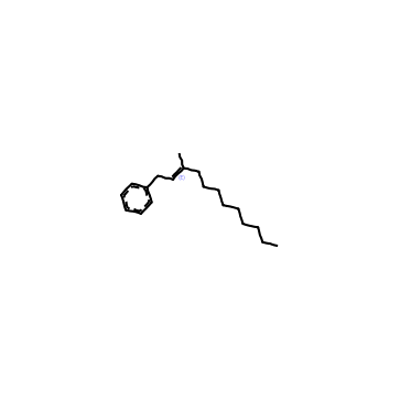 CCCCCCCCC/C(C)=C/Cc1ccccc1